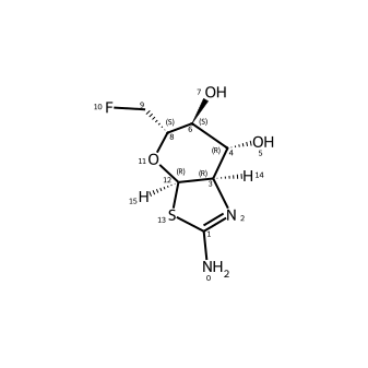 NC1=N[C@@H]2[C@@H](O)[C@H](O)[C@@H](CF)O[C@@H]2S1